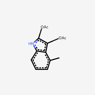 CC(=O)Oc1[nH]c2cccc(C)c2c1OC(C)=O